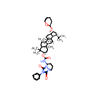 C=C(C)[C@@H]1CC[C@]2(COC3CCCCO3)CC[C@]3(C)C(CCC4[C@@]5(C)CC[C@H](OC(=O)NC6C=CCn7c(=O)n(-c8ccccc8)c(=O)n76)C(C)(C)C5CC[C@]43C)C12